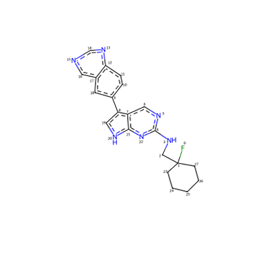 FC1(CNc2ncc3c(-c4ccc5ncncc5c4)c[nH]c3n2)CCCCC1